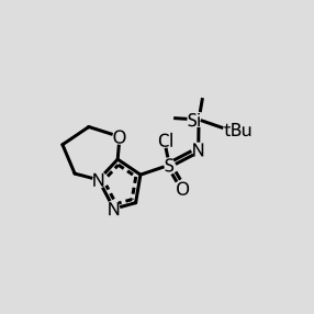 CC(C)(C)[Si](C)(C)N=S(=O)(Cl)c1cnn2c1OCCC2